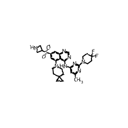 Cc1cc(Nc2ncnc3cc(S(=O)(=O)C4CNC4)cc(N4CCC5(CC4)CC5)c23)nc(N2CCC(F)(F)CC2)n1